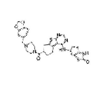 O=C(C1CCc2c(sc3ncnc(Nc4ccc5[nH]c(=O)sc5c4)c23)C1)N1CCN(Cc2ccc3c(c2)OCO3)CC1